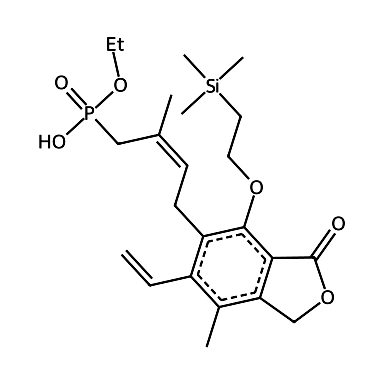 C=Cc1c(C)c2c(c(OCC[Si](C)(C)C)c1CC=C(C)CP(=O)(O)OCC)C(=O)OC2